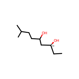 CC[C@H](O)CC(O)CCC(C)C